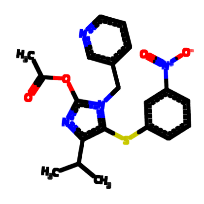 CC(=O)Oc1nc(C(C)C)c(Sc2cccc([N+](=O)[O-])c2)n1Cc1cccnc1